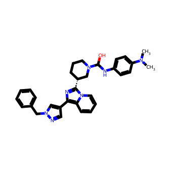 CN(C)c1ccc(NC(O)N2CCC[C@@H](c3nc(-c4cnn(Cc5ccccc5)c4)c4ccccn34)C2)cc1